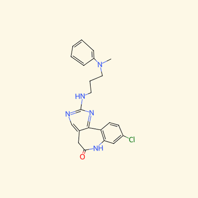 CN(CCCNc1ncc2c(n1)-c1ccc(Cl)cc1NC(=O)C2)c1ccccc1